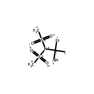 CCCC(C)(CC)N(S(=O)(=O)C(F)(F)F)S(=O)(=O)C(F)(F)F